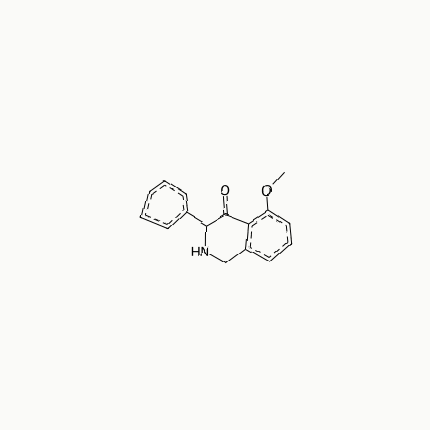 COc1cccc2c1C(=O)C(c1ccccc1)NC2